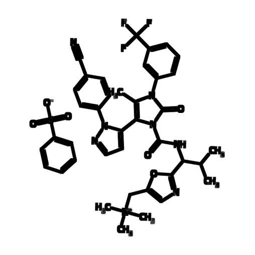 Cc1c(-c2ccnn2-c2ccc(C#N)cc2)n(C(=O)NC(c2ncc(C[N+](C)(C)C)o2)C(C)C)c(=O)n1-c1cccc(C(F)(F)F)c1.O=S(=O)([O-])c1ccccc1